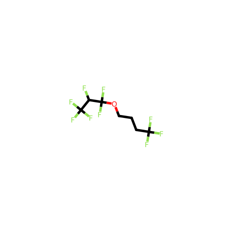 FC(C(F)(F)F)C(F)(F)OCCCC(F)(F)F